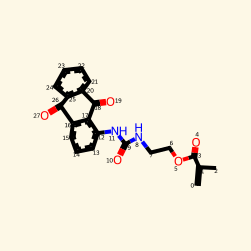 C=C(C)C(=O)OCCNC(=O)Nc1cccc2c1C(=O)c1ccccc1C2=O